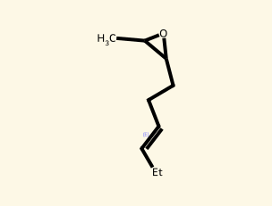 CC/C=C/CCC1OC1C